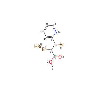 Br.COC(=O)C(Br)C(Br)c1ccccn1